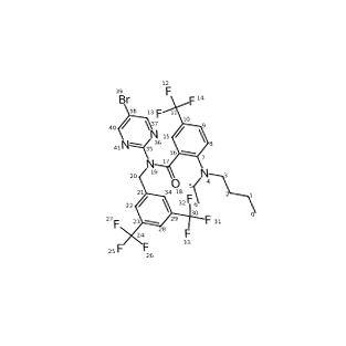 CCCCN(CC)c1ccc(C(F)(F)F)cc1C(=O)N(Cc1cc(C(F)(F)F)cc(C(F)(F)F)c1)c1ncc(Br)cn1